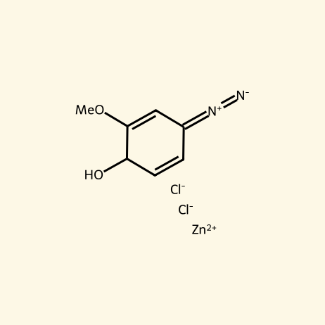 COC1=CC(=[N+]=[N-])C=CC1O.[Cl-].[Cl-].[Zn+2]